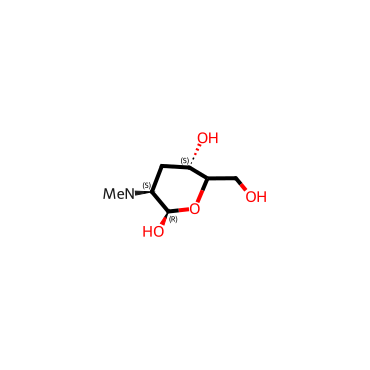 CN[C@H]1C[C@H](O)C(CO)O[C@H]1O